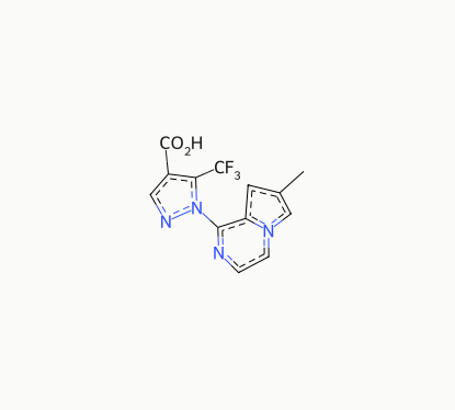 Cc1cc2c(-n3ncc(C(=O)O)c3C(F)(F)F)nccn2c1